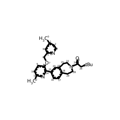 Cc1ccnc(COc2ccc(C)nc2-c2ccc3c(c2)CCN(C(=O)CC(C)(C)C)CC3)c1